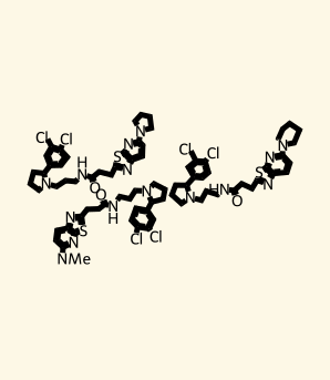 CNc1ccc2nc(CCC(=O)NCCCN3CCCC3c3ccc(Cl)c(Cl)c3)sc2n1.O=C(CCc1nc2ccc(N3CCCC3)nc2s1)NCCCN1CCCC1c1ccc(Cl)c(Cl)c1.O=C(CCc1nc2ccc(N3CCCCC3)nc2s1)NCCCN1CCCC1c1ccc(Cl)c(Cl)c1